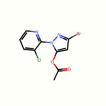 CC(=O)Oc1cc(Br)nn1-c1ncccc1Cl